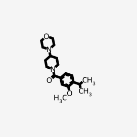 COc1cc(C(=O)N2CCC(N3CCOCC3)CC2)ccc1C(C)C